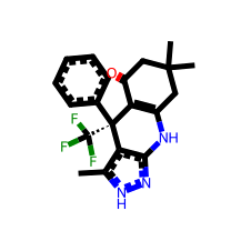 Cc1[nH]nc2c1[C@](c1ccccc1)(C(F)(F)F)C1=C(CC(C)(C)CC1=O)N2